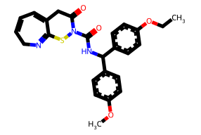 CCOc1ccc(C(NC(=O)N2SC3=NCC=CC=C3CC2=O)c2ccc(OC)cc2)cc1